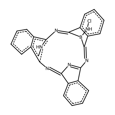 ClNB1/C2=N\C3=NC(=N\c4[nH]c(c5ccccc45)/N=C\1c1ccccc12)/c1ccccc13